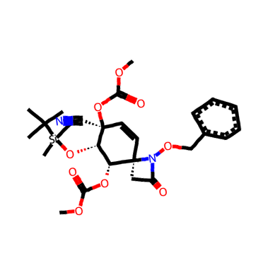 COC(=O)O[C@@H]1[C@H](O[Si](C)(C)C(C)(C)C)[C@@](C#N)(OC(=O)OC)C=C[C@]12CC(=O)N2OCc1ccccc1